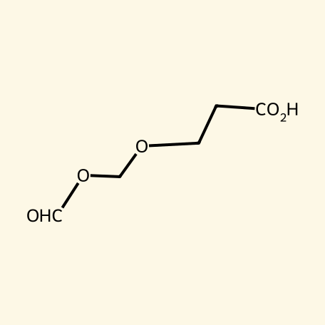 O=COCOCCC(=O)O